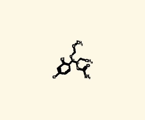 CC[C@@H](OC(N)=O)[C@H](OCOC)c1ccc(Cl)cc1Cl